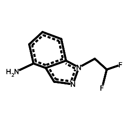 Nc1cccc2c1cnn2CC(F)F